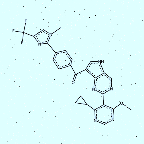 COc1ncnc(C2CC2)c1-c1ncc2[nH]cc(C(=O)c3ccc(-c4nc(C(F)(F)F)cn4C)cc3)c2n1